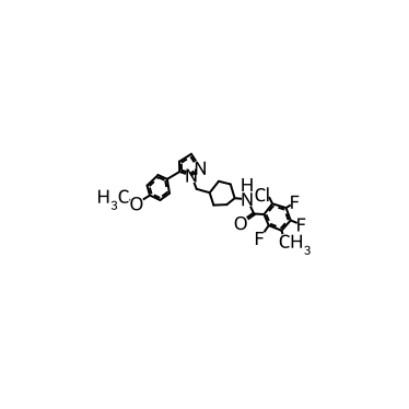 COc1ccc(-c2ccnn2CC2CCC(NC(=O)c3c(F)c(C)c(F)c(F)c3Cl)CC2)cc1